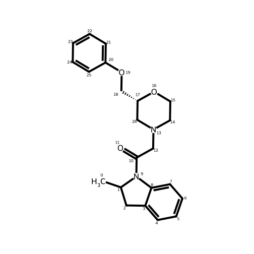 CC1Cc2ccccc2N1C(=O)CN1CCO[C@@H](COc2ccccc2)C1